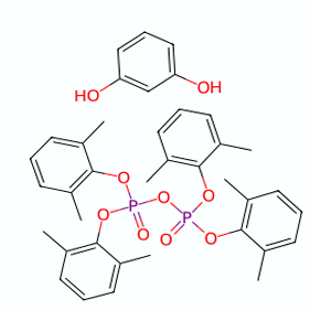 Cc1cccc(C)c1OP(=O)(Oc1c(C)cccc1C)OP(=O)(Oc1c(C)cccc1C)Oc1c(C)cccc1C.Oc1cccc(O)c1